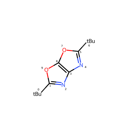 CC(C)(C)c1nc2nc(C(C)(C)C)oc2o1